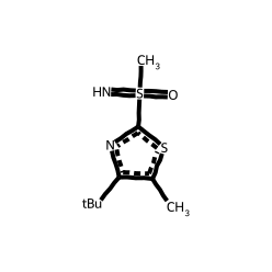 Cc1sc(S(C)(=N)=O)nc1C(C)(C)C